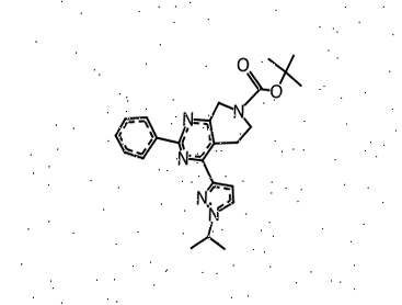 CC(C)n1ccc(-c2nc(-c3ccccc3)nc3c2CCN(C(=O)OC(C)(C)C)C3)n1